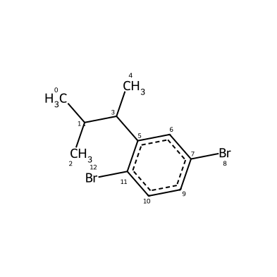 C[C](C)C(C)c1cc(Br)ccc1Br